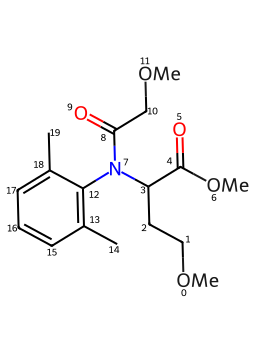 COCCC(C(=O)OC)N(C(=O)COC)c1c(C)cccc1C